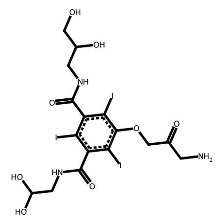 NCC(=O)COc1c(I)c(C(=O)NCC(O)O)c(I)c(C(=O)NCC(O)CO)c1I